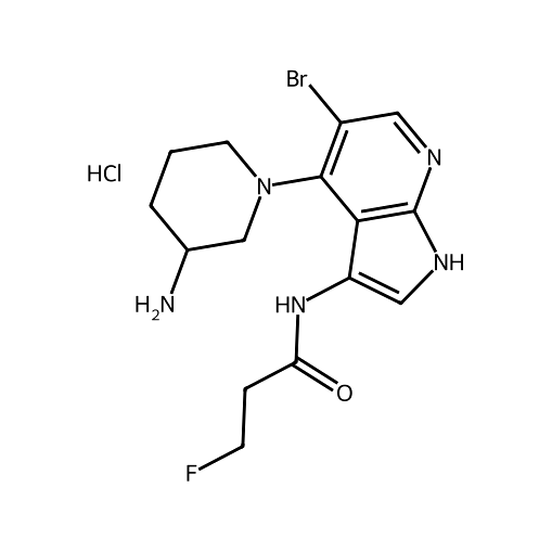 Cl.NC1CCCN(c2c(Br)cnc3[nH]cc(NC(=O)CCF)c23)C1